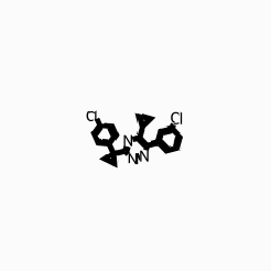 Clc1ccc(C2(c3nnc(-c4cccc(Cl)c4)c(C4CC4)n3)CC2)cc1